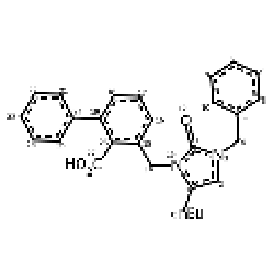 CCCCc1cn(Cc2ccccc2)c(=O)n1Cc1cccc(-c2ccccc2)c1C(=O)O